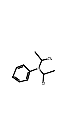 CC(Cl)N(c1ccccc1)C(C)C#N